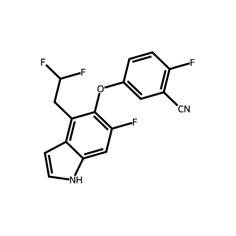 N#Cc1cc(Oc2c(F)cc3[nH]ccc3c2CC(F)F)ccc1F